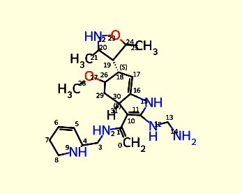 C=C(NCC1C=CCCN1)C1=C(NCN)NC2=C[C@@H](C3C(C)NOC3C)C(OC)C[C@H]21